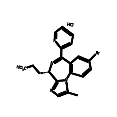 Cc1cnc2n1-c1ccc(Br)cc1C(c1ccccn1)=N[C@H]2CCC(=O)O.Cl